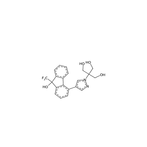 OCC(CO)(CO)n1cc(-c2cccc3c2-c2ccccc2C3(O)C(F)(F)F)cn1